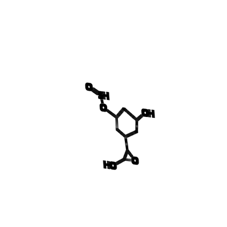 O=[SH]OC1CC(O)CC(C2OC2O)C1